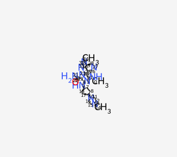 CNc1nc(Nc2ccc(N3CCN(C)CC3)cc2)c(C(N)=O)nc1-c1cncc2c1ncn2C